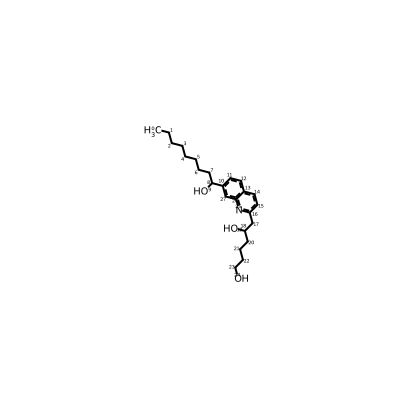 CCCCCCCCC(O)c1ccc2ccc(CC(O)CCCCO)nc2c1